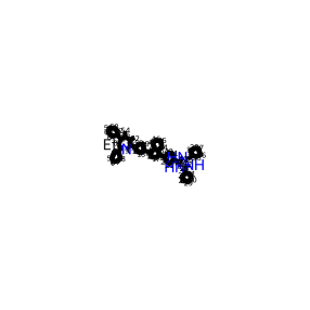 CCC1C(c2ccccc2)=NC(c2ccc(-c3ccc(-c4ccc(C5NC(c6ccccc6)NC(c6ccccc6)N5)cc4)c4ccccc34)cc2)C(C)C(C)C1c1ccccc1